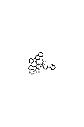 CC1CC(c2ccccn2)=CC=C1C1=NC2=C(c3ccccc3C2(C)C)C(n2c3c(c4ccccc42)=CC2CC=CC=C2C=3)N1